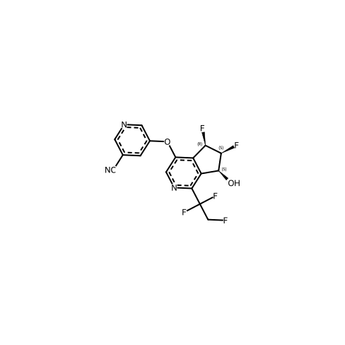 N#Cc1cncc(Oc2cnc(C(F)(F)CF)c3c2[C@@H](F)[C@@H](F)[C@H]3O)c1